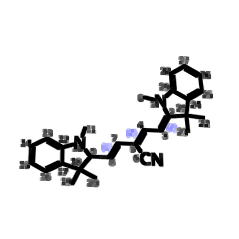 CN1\C(=C/C=C(C#N)/C=C/C2N(C)c3ccccc3C2(C)C)C(C)(C)c2ccccc21